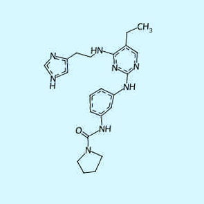 CCc1cnc(Nc2cccc(NC(=O)N3CCCC3)c2)nc1NCCc1c[nH]cn1